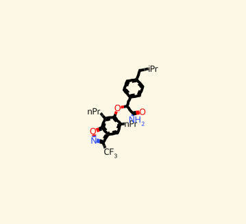 CCCc1cc2c(C(F)(F)F)noc2c(CCC)c1OC(C(N)=O)c1ccc(CC(C)C)cc1